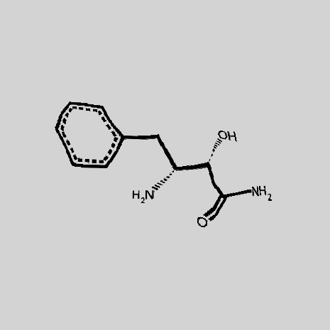 NC(=O)[C@@H](O)[C@H](N)Cc1ccccc1